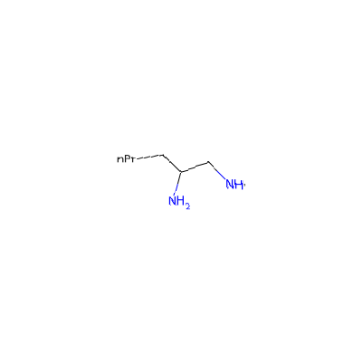 CCCCC(N)C[NH]